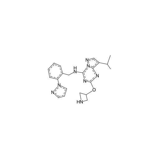 CC(C)c1cnn2c(NCc3ccccc3-n3cccn3)nc(OC3CNC3)nc12